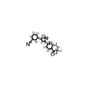 CC1(C)CCc2nc(-c3cc(-c4cccc(C#N)c4)on3)ccc2C1=O